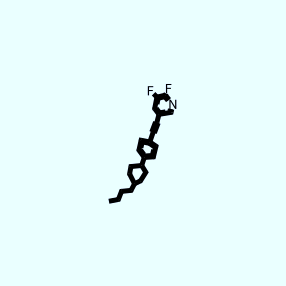 CCCCC1CCC(c2ccc(C#Cc3cnc(F)c(F)c3)cc2)CC1